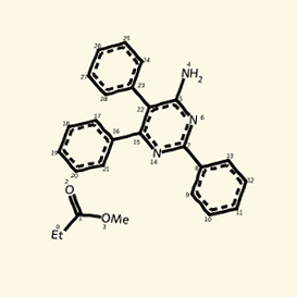 CCC(=O)OC.Nc1nc(-c2ccccc2)nc(-c2ccccc2)c1-c1ccccc1